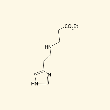 CCOC(=O)CCNCCc1c[nH]cn1